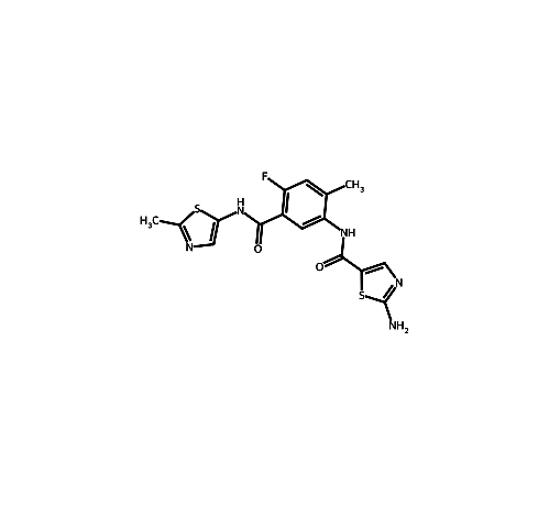 Cc1ncc(NC(=O)c2cc(NC(=O)c3cnc(N)s3)c(C)cc2F)s1